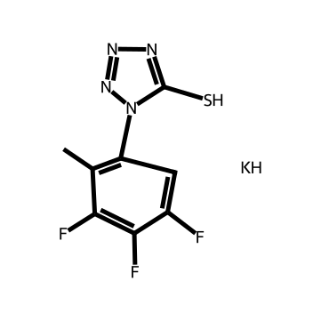 Cc1c(-n2nnnc2S)cc(F)c(F)c1F.[KH]